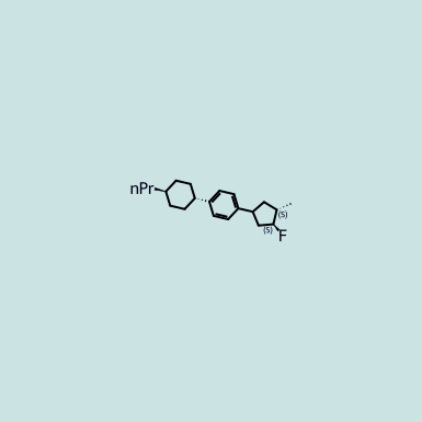 CCC[C@H]1CC[C@H](c2ccc(C3C[C@H](C)[C@@H](F)C3)cc2)CC1